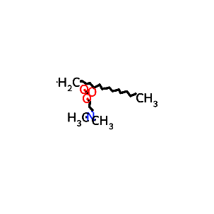 [CH2]CC(CCCCCCCCCCCC)OC(=O)OCCCN(C)C